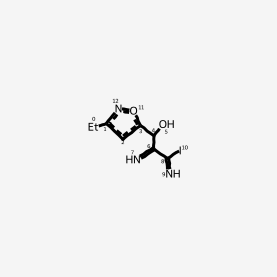 CCc1cc(C(O)C(=N)C(=N)I)on1